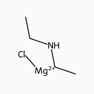 CCNCC.[Mg+2][Cl]